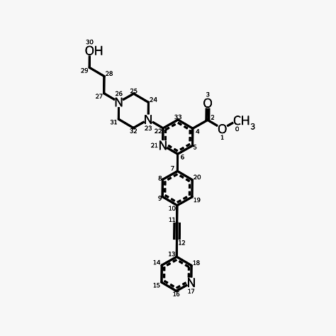 COC(=O)c1cc(-c2ccc(C#Cc3cccnc3)cc2)nc(N2CCN(CCCO)CC2)c1